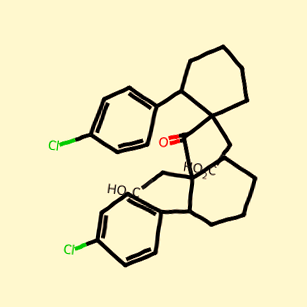 O=C(O)CC1(C(=O)C2(CC(=O)O)CCCCC2c2ccc(Cl)cc2)CCCCC1c1ccc(Cl)cc1